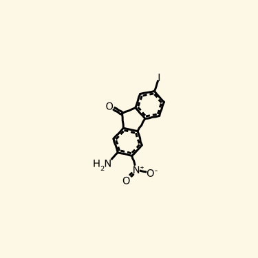 Nc1cc2c(cc1[N+](=O)[O-])-c1ccc(I)cc1C2=O